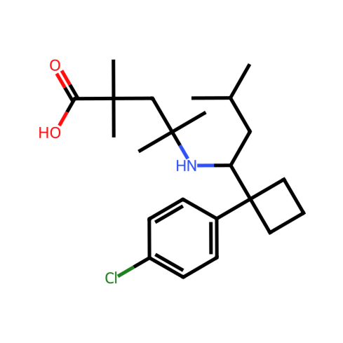 CC(C)CC(NC(C)(C)CC(C)(C)C(=O)O)C1(c2ccc(Cl)cc2)CCC1